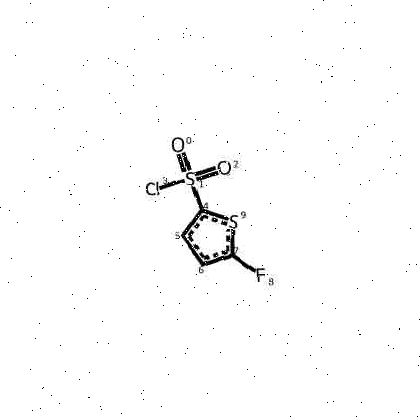 O=S(=O)(Cl)c1ccc(F)s1